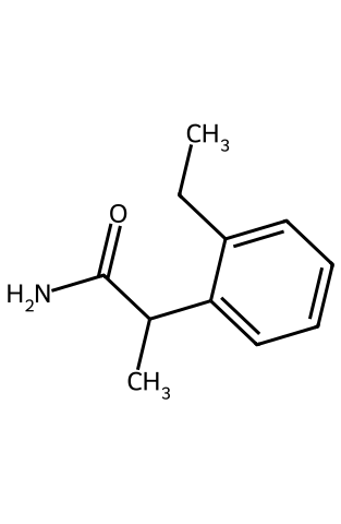 CCc1ccccc1C(C)C(N)=O